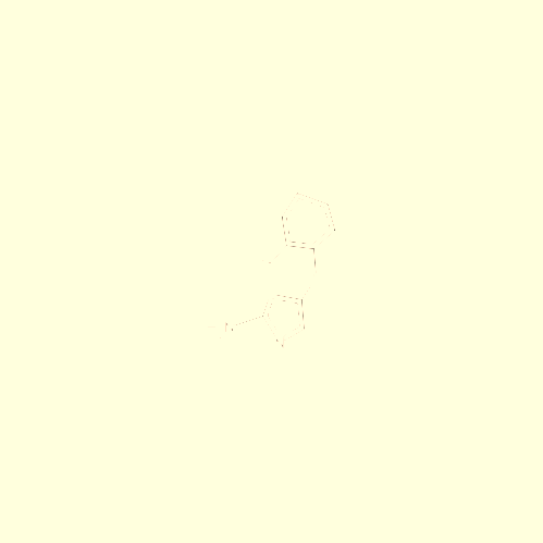 Nc1ncc(Sc2ccccc2Cl)s1